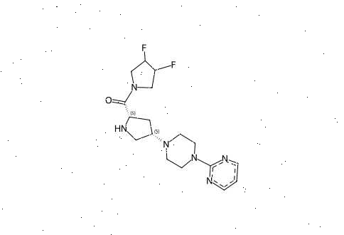 O=C([C@@H]1C[C@H](N2CCN(c3ncccn3)CC2)CN1)N1CC(F)C(F)C1